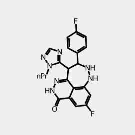 CCCn1ncnc1C1c2n[nH]c(=O)c3cc(F)cc(c23)NNC1c1ccc(F)cc1